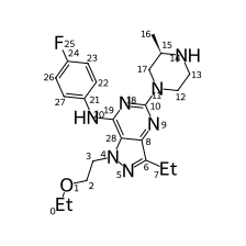 CCOCCn1nc(CC)c2nc(N3CCN[C@H](C)C3)nc(Nc3ccc(F)cc3)c21